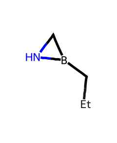 CCCB1CN1